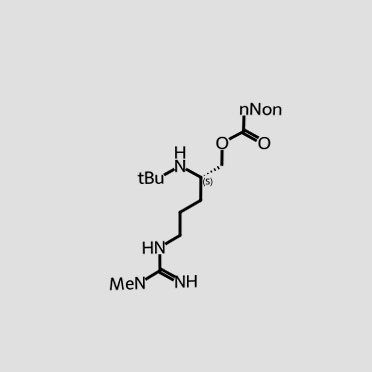 CCCCCCCCCC(=O)OC[C@H](CCCNC(=N)NC)NC(C)(C)C